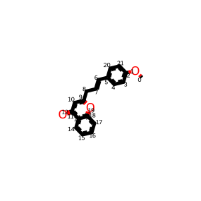 COc1ccc(C=CCc2cc(=O)c3ccccc3o2)cc1